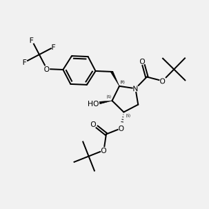 CC(C)(C)OC(=O)O[C@H]1CN(C(=O)OC(C)(C)C)[C@H](Cc2ccc(OC(F)(F)F)cc2)[C@@H]1O